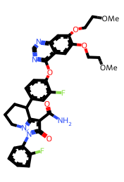 COCCOc1cc2ncnc(Oc3ccc(C4CCCn5c4c(C(N)=O)c(=O)n5-c4ccccc4F)cc3F)c2cc1OCCOC